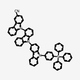 N#Cc1ccc2c(c1)c1ccccc1n2-c1cccc2c1c1ccccc1n2-c1ccc2c(c1)c1ccccc1n2-c1ccc([Si](c2ccccc2)(c2ccccc2)c2ccccc2)cc1